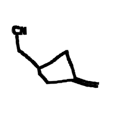 C=C1CC(CC#N)C1